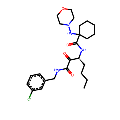 CCCC[C@H](NC(=O)C1(NN2CCOCC2)CCCCC1)C(=O)C(=O)NCc1cccc(Cl)c1